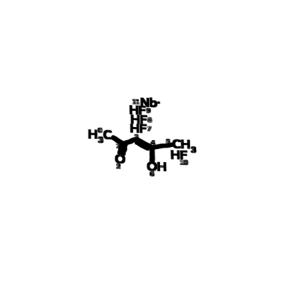 CC(=O)/C=C(/C)O.F.F.F.F.[Nb]